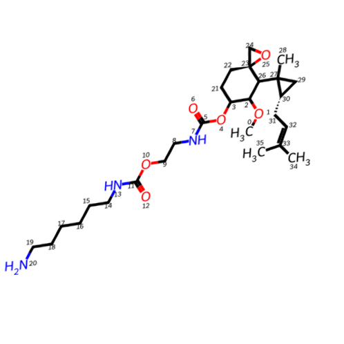 COC1C(OC(=O)NCCOC(=O)NCCCCCCN)CC[C@]2(CO2)C1C1(C)C[C@@H]1CC=C(C)C